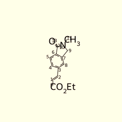 CCOC(=O)/C=C/c1ccc2c(c1)CN(C)C2=O